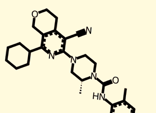 Cc1ccccc1NC(=O)N1CCN(c2nc(C3CCCCC3)c3c(c2C#N)CCOC3)C[C@H]1C